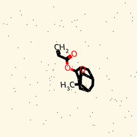 C=CC(=O)OC1C2CC3CC(CC1C3C)C2=O